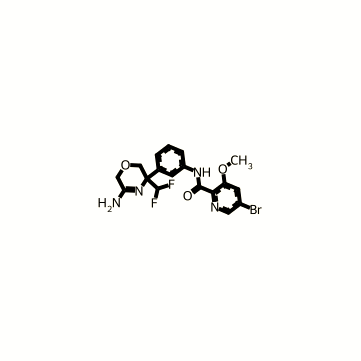 COc1cc(Br)cnc1C(=O)Nc1cccc(C2(C(F)F)COCC(N)=N2)c1